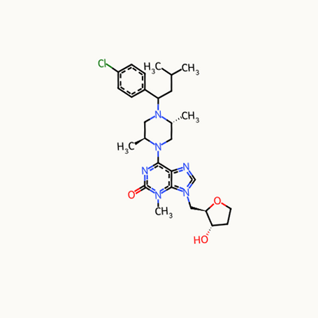 CC(C)CC(c1ccc(Cl)cc1)N1C[C@H](C)N(c2nc(=O)n(C)c3c2ncn3C[C@H]2OCC[C@@H]2O)C[C@H]1C